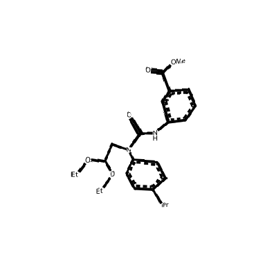 CCOC(CN(C(=O)Nc1cccc(C(=O)OC)c1)c1ccc(C(C)C)cc1)OCC